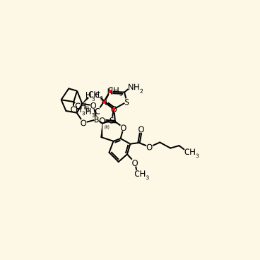 CCCCOC(=O)c1c(OC)ccc(C[C@H](Sc2nnc(N)s2)B2OC3CC4CC(C4(C)C)[C@]3(C)O2)c1OC(=O)OC(C)(C)C